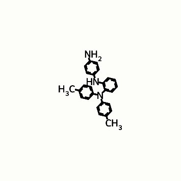 Cc1ccc(N(c2ccc(C)cc2)c2ccccc2Nc2ccc(N)cc2)cc1